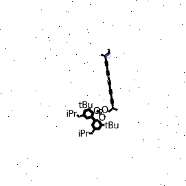 C/C=C(\C)C#CC#CC#CC#CC#CC(C)COp1oc2c(C(C)(C)C)cc(CC(C)C)cc2c2cc(CC(C)C)cc(C(C)(C)C)c2o1